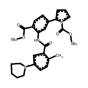 Cc1ccc(N2CCCCC2)cc1C(=O)Nc1cc(-c2cccn2C(=O)OC(C)(C)C)ccc1C(=O)OC(C)(C)C